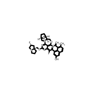 C=C(Cl)c1c(C)ccc2cc(O)cc(-c3nc4c5c(nc(OC[C@@]67CCCN6C[C@H](F)C7)nc5c3F)N3C[C@H]5CC[C@H](N5)[C@H]3CO4)c12